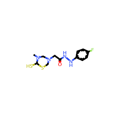 CN1CN(CC(=O)NNc2ccc(F)cc2)CSC1S